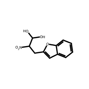 O=[N+]([O-])C(Cc1cc2ccccc2o1)C(O)O